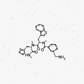 CNC(=O)[C@@H](Cc1cccs1)N(C)C(=O)[C@@H](Cc1csc2ccccc12)N(C)C(=O)c1cccc(CN)c1